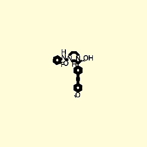 COc1ccc(C#Cc2ccc([C@@H]3[C@@H](CO)N4CCCCN(C(=O)Nc5ccccc5F)C[C@H]34)cc2)cc1